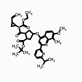 C=CC1CC1N(C(=O)OCC)C(=O)C1CC(Oc2cc(-c3cccc(C(C)C)n3)nc3c(C)c(OC)ccc23)CC1C(=O)OC(C)(C)C